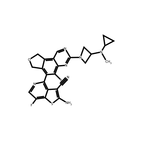 CN(C1CC1)C1CN(c2ncc3c4c(c(-c5ncc(F)c6sc(N)c(C#N)c56)c(F)c3n2)COC4)C1